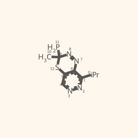 CC(C)c1nncc2c1N=NC(C)(P)S2